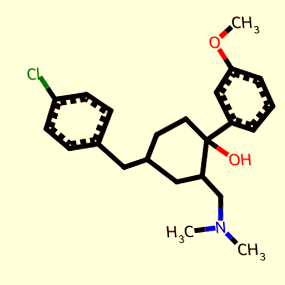 COc1cccc(C2(O)CCC(Cc3ccc(Cl)cc3)CC2CN(C)C)c1